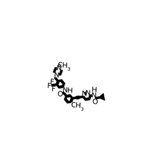 Cc1ccc(C(=O)Nc2ccc(CN3CCN(C)CC3)c(C(F)(F)F)c2)cc1C#Cc1ccc(NC(=O)C2CC2)nn1